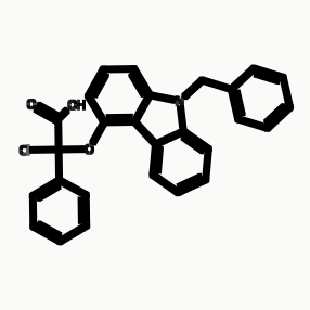 O=C(O)C(Cl)(Oc1cccc2c1c1ccccc1n2Cc1ccccc1)c1ccccc1